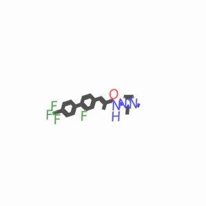 C/C(=C\c1ccc(-c2ccc(C(F)(F)F)cc2)c(F)c1)C(=O)N[n+]1ccn(C)c1C